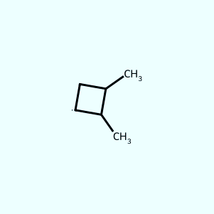 CC1[CH]CC1C